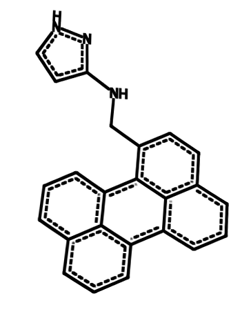 c1cc2cccc3c4c(CNc5cc[nH]n5)ccc5cccc(c(c1)c23)c54